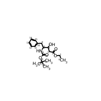 CCOC(=O)CC(O)C(Cc1ccccc1)NC(=O)OC(C)(C)C